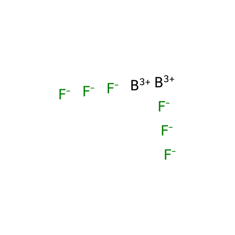 [B+3].[B+3].[F-].[F-].[F-].[F-].[F-].[F-]